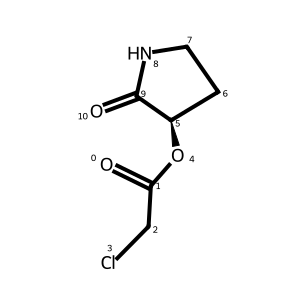 O=C(CCl)O[C@@H]1CCNC1=O